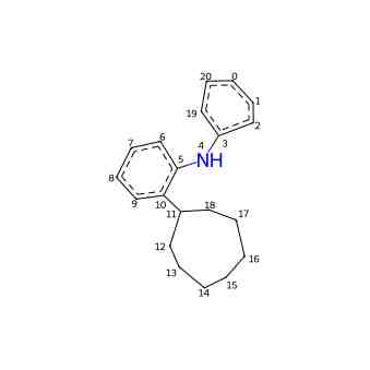 c1ccc(Nc2ccccc2C2CCCCCCC2)cc1